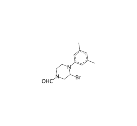 Cc1cc(C)cc(N2CCN(C=O)CC2Br)c1